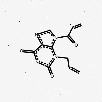 C=CCn1c(=O)[nH]c(=O)c2ncn(C(=O)C=C)c21